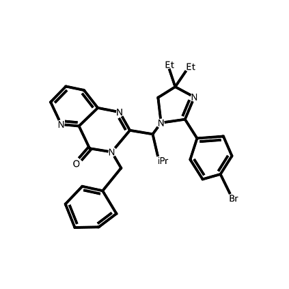 CCC1(CC)CN(C(c2nc3cccnc3c(=O)n2Cc2ccccc2)C(C)C)C(c2ccc(Br)cc2)=N1